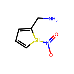 NCC1=CC=C[SH]1[N+](=O)[O-]